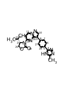 Cc1nnc(-c2ccc(-c3cnn4ccc(N5C(=O)OC[C@@H]5C(C)C)nc34)cc2)[nH]1